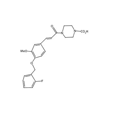 COc1cc(C=CC(=O)N2CCN(C(=O)O)CC2)ccc1OCc1ccccc1F